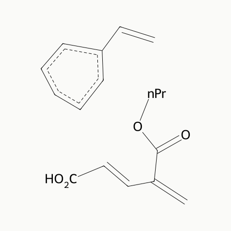 C=C(C=CC(=O)O)C(=O)OCCC.C=Cc1ccccc1